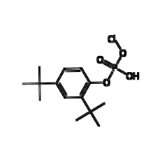 CC(C)(C)c1ccc(OP(=O)(O)OCl)c(C(C)(C)C)c1